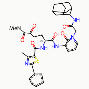 CNC(=O)C(=O)CC[C@H](NC(=O)c1sc(-c2ccccc2)nc1C)C(=O)Nc1cccn(CC(=O)NC2C3CC4CC(C3)CC2C4)c1=O